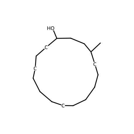 CC1CCCCCCCCCCCCC(O)CC1